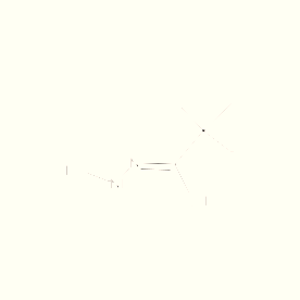 CN/N=C(\S)C(F)(F)F